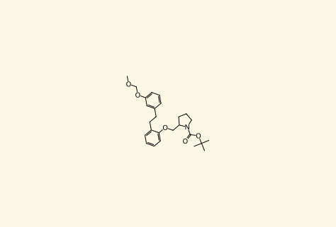 COCOc1cccc(CCc2ccccc2OCC2CCCN2C(=O)OC(C)(C)C)c1